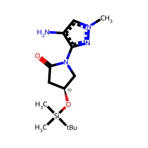 Cn1cc(N)c(N2C[C@@H](O[Si](C)(C)C(C)(C)C)CC2=O)n1